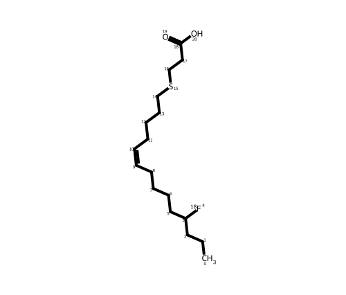 CCCC([18F])CCCC/C=C\CCCCSCCC(=O)O